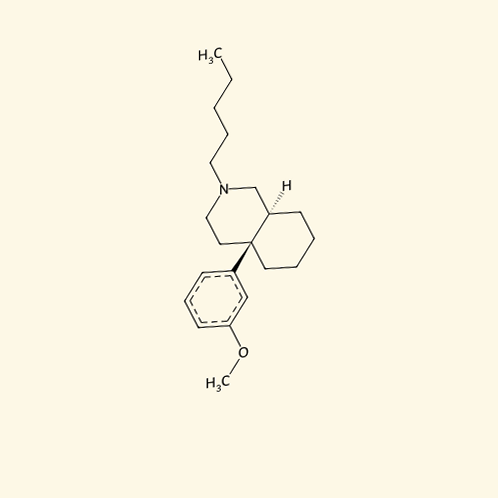 CCCCCN1CC[C@@]2(c3cccc(OC)c3)CCCC[C@@H]2C1